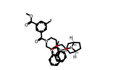 COC(=O)c1cc(F)cc(C(=O)N2CCC(CCN3[C@@H]4CC[C@H]3C[C@@H](n3c(C)nc5ccccc53)C4)(c3ccccc3)CC2)c1